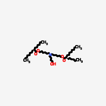 CCCCCCCC[C@@H](CCCCCC)C(=O)OCCCCCCN(CCCCO)CCCCCCOC(=O)[C@@H](CCCCCC)CCCCCCCC